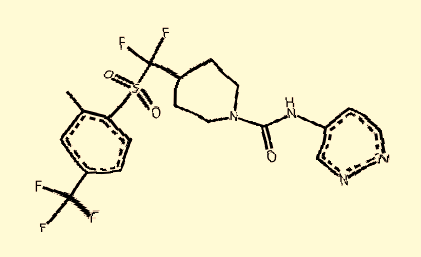 Cc1cc(C(F)(F)F)ccc1S(=O)(=O)C(F)(F)C1CCN(C(=O)Nc2ccnnc2)CC1